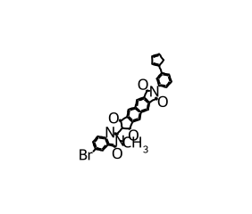 Cn1c(C2C(=O)c3cc4cc5c(cc4cc3C2=O)C(=O)N(c2cccc(C3=CC=CC3)c2)C5=O)nc2ccc(Br)cc2c1=O